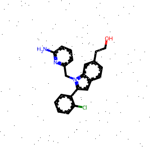 Nc1cccc(Cn2c(-c3ccccc3Cl)cc3ccc(CCO)cc32)n1